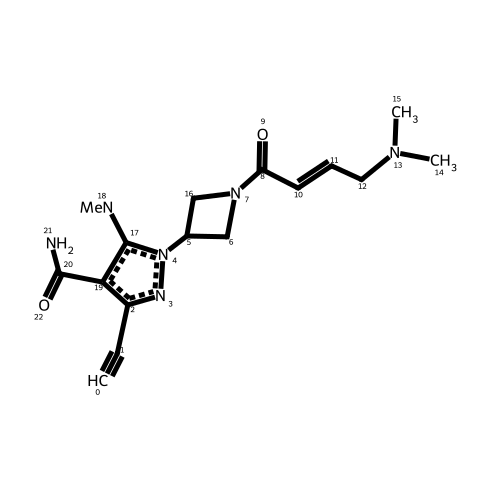 C#Cc1nn(C2CN(C(=O)/C=C/CN(C)C)C2)c(NC)c1C(N)=O